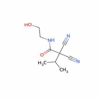 CC(C)C(C#N)(C#N)C(=O)NCCO